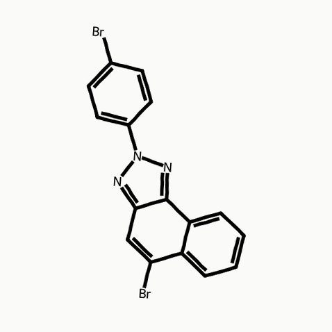 Brc1ccc(-n2nc3cc(Br)c4ccccc4c3n2)cc1